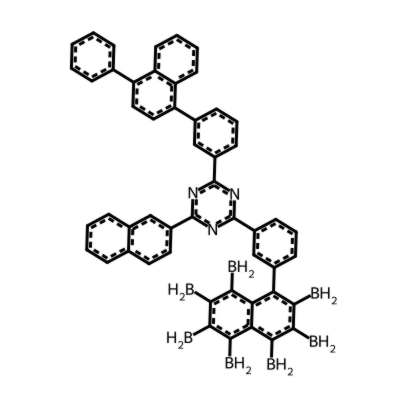 Bc1c(B)c(B)c2c(-c3cccc(-c4nc(-c5cccc(-c6ccc(-c7ccccc7)c7ccccc67)c5)nc(-c5ccc6ccccc6c5)n4)c3)c(B)c(B)c(B)c2c1B